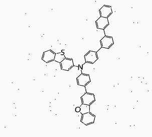 c1cc(-c2ccc(N(c3ccc(-c4ccc5c(c4)oc4ccccc45)cc3)c3ccc4c(c3)sc3ccccc34)cc2)cc(-c2ccc3ccccc3c2)c1